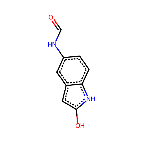 O=CNc1ccc2[nH]c(O)cc2c1